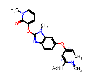 C=N/C(=C\C(=C/C)Oc1ccc2nc(Oc3cccn(C)c3=O)n(C)c2c1)NC(C)=O